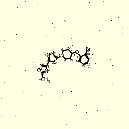 Cc1nc(-c2nnc(N3CCC(Oc4ccccc4Br)CC3)s2)no1